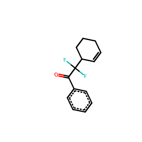 O=C(c1ccccc1)C(F)(F)C1C=CCCC1